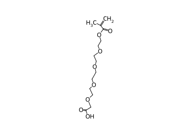 C=C(C)C(=O)OCCOCCOCCOCCOCC(=O)O